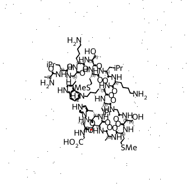 CSCC[C@H](NC(=O)[C@@H](NC(=O)CNC(=O)[C@H](CC(C)C)NC(=O)[C@H](CCCCN)NC(=O)[C@H](CCCCN)NC(=O)[C@H](CC(C)C)NC(=O)[C@H](CCSC)NC(=O)[C@@H](NC(=O)[C@H](CCCCN)NC(=O)[C@H](Cc1c[nH]c2ccccc12)NC(=O)[C@H](CC(C)C)NC(=O)[C@H](C)N)[C@@H](C)O)[C@@H](C)O)C(=O)N[C@@H](C)C(=O)N[C@@H](CC(C)C)C(=O)N[C@@H](Cc1c[nH]cn1)C(=O)N[C@@H](C)C(=O)NCC(=O)O